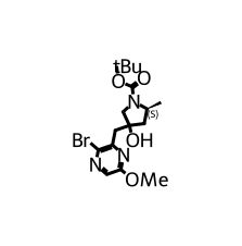 COc1cnc(Br)c(CC2(O)C[C@H](C)N(C(=O)OC(C)(C)C)C2)n1